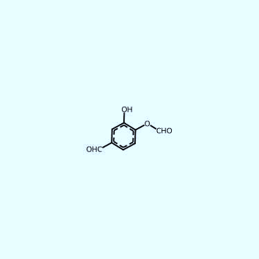 O=COc1ccc(C=O)cc1O